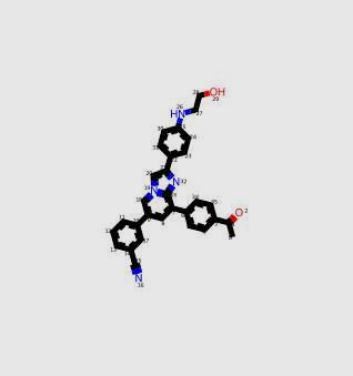 CC(=O)c1ccc(-c2cc(-c3cccc(C#N)c3)cn3cc(-c4ccc(NCCO)cc4)nc23)cc1